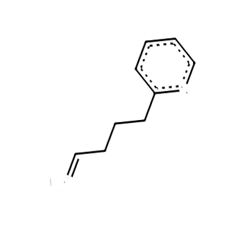 C=CCCCc1ccccn1